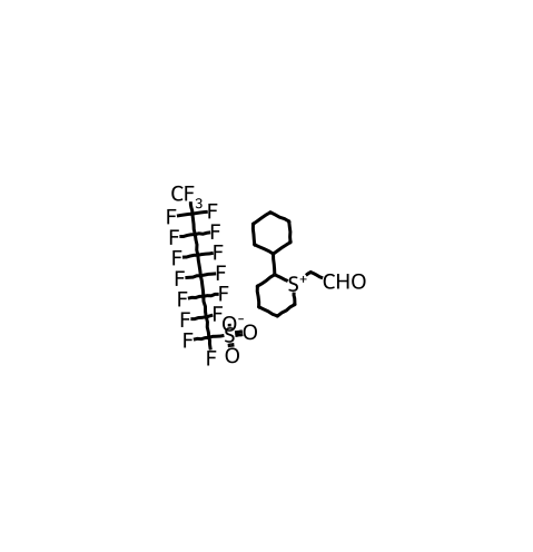 O=CC[S+]1CCCCC1C1CCCCC1.O=S(=O)([O-])C(F)(F)C(F)(F)C(F)(F)C(F)(F)C(F)(F)C(F)(F)C(F)(F)C(F)(F)F